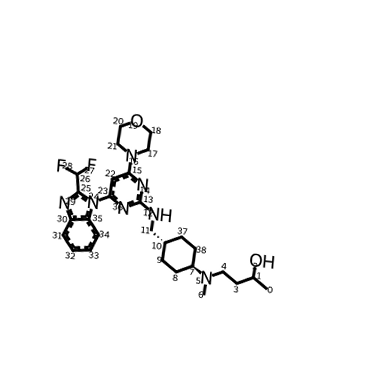 CC(O)CCN(C)[C@H]1CC[C@H](CNc2nc(N3CCOCC3)cc(-n3c(C(F)F)nc4ccccc43)n2)CC1